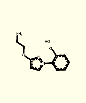 Cl.NCCOc1ccn(-c2ccccc2Cl)n1